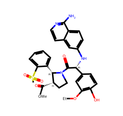 CCOc1cc([C@@H](Nc2ccc3c(N)nccc3c2)C(=O)N2CC[C@H](C(=O)OC)[C@@H]2c2ccccc2S(C)(=O)=O)ccc1O